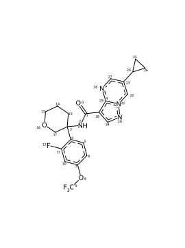 O=C(NC1(c2ccc(OC(F)(F)F)cc2F)CCCOC1)c1cnn2cc(C3CC3)cnc12